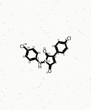 O=C1C=C(c2ccc(Cl)cc2)C(=O)N1Nc1ccc(Cl)cc1